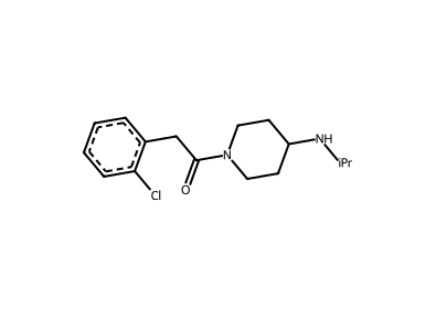 CC(C)NC1CCN(C(=O)Cc2ccccc2Cl)CC1